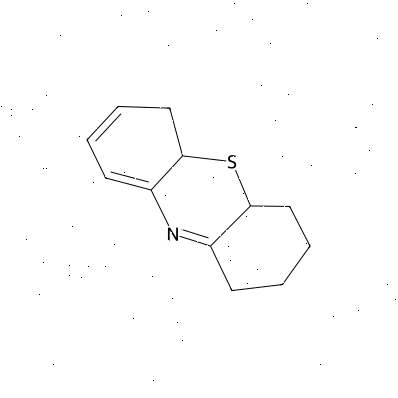 C1=CCC2SC3CCCCC3=NC2=C1